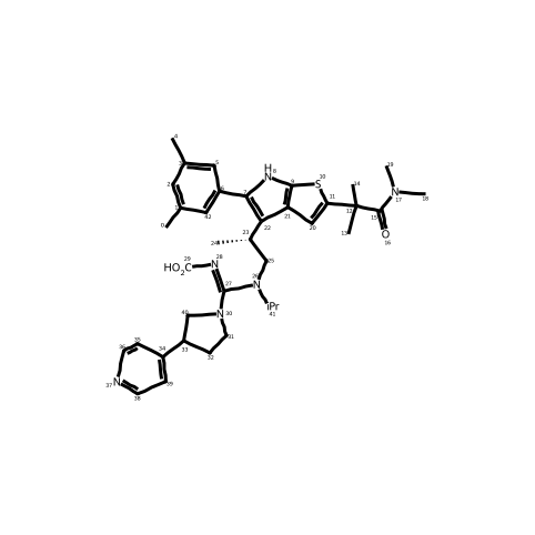 Cc1cc(C)cc(-c2[nH]c3sc(C(C)(C)C(=O)N(C)C)cc3c2[C@@H](C)CN(C(=NC(=O)O)N2CCC(c3ccncc3)C2)C(C)C)c1